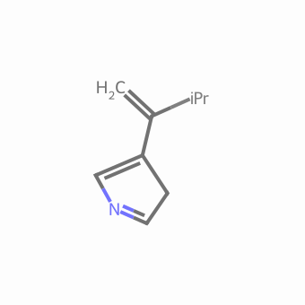 C=C(C1=CN=CC1)C(C)C